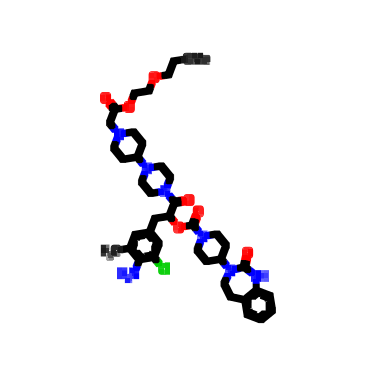 COCCOCCOC(=O)CN1CCC(N2CCN(C(=O)C(Cc3cc(Cl)c(N)c(C(F)(F)F)c3)OC(=O)N3CCC(N4CCc5ccccc5NC4=O)CC3)CC2)CC1